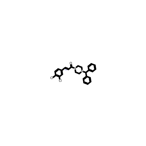 O=C(/C=C/c1ccc(Cl)c(Cl)c1)N1CCN(C(c2ccccc2)c2ccccc2)CC1